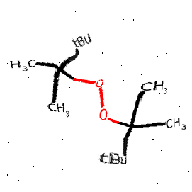 CC(C)(C)C(C)(C)OOC(C)(C)C(C)(C)C